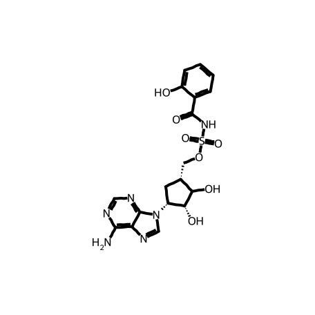 Nc1ncnc2c1ncn2[C@@H]1C[C@H](COS(=O)(=O)NC(=O)c2ccccc2O)C(O)[C@@H]1O